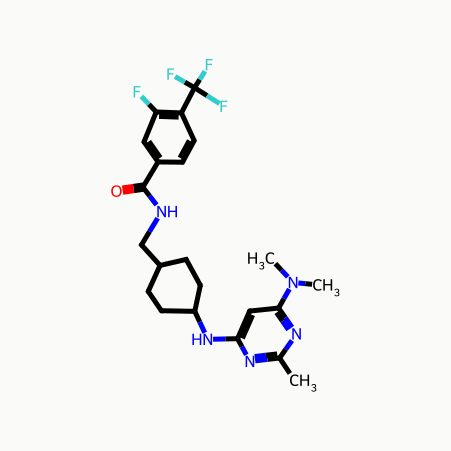 Cc1nc(NC2CCC(CNC(=O)c3ccc(C(F)(F)F)c(F)c3)CC2)cc(N(C)C)n1